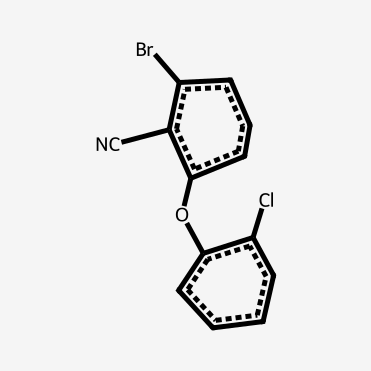 N#Cc1c(Br)cccc1Oc1ccccc1Cl